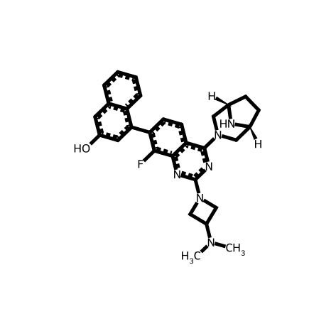 CN(C)C1CN(c2nc(N3C[C@H]4CC[C@@H](C3)N4)c3ccc(-c4cc(O)cc5ccccc45)c(F)c3n2)C1